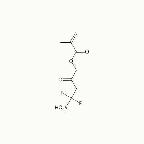 C=C(C)C(=O)OCC(=O)CC(F)(F)S(=O)(=O)O